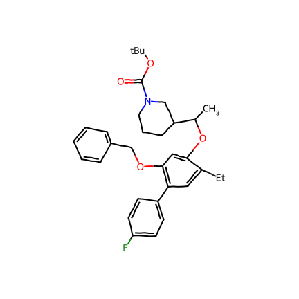 CCc1cc(-c2ccc(F)cc2)c(OCc2ccccc2)cc1OC(C)C1CCCN(C(=O)OC(C)(C)C)C1